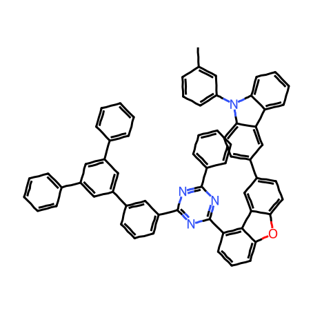 Cc1cccc(-n2c3ccccc3c3cc(-c4ccc5oc6cccc(-c7nc(-c8ccccc8)nc(-c8cccc(-c9cc(-c%10ccccc%10)cc(-c%10ccccc%10)c9)c8)n7)c6c5c4)ccc32)c1